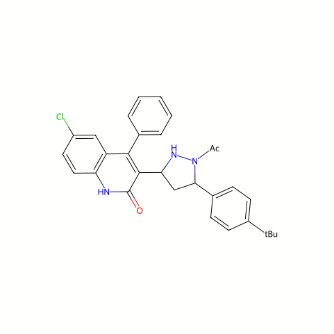 CC(=O)N1NC(c2c(-c3ccccc3)c3cc(Cl)ccc3[nH]c2=O)CC1c1ccc(C(C)(C)C)cc1